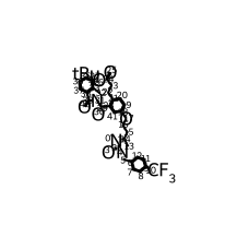 CN1C(=O)N(Cc2ccc(C(F)(F)F)cc2)CC1CCOc1ccc(CCC(=O)OC(C)(C)C)c(C(=O)N2Cc3ccccc3C2=O)c1